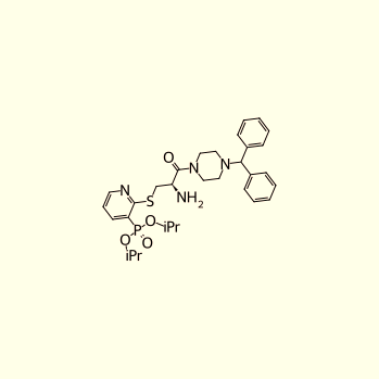 CC(C)OP(=O)(OC(C)C)c1cccnc1SC[C@H](N)C(=O)N1CCN(C(c2ccccc2)c2ccccc2)CC1